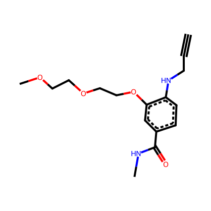 C#CCNc1ccc(C(=O)NC)cc1OCCOCCOC